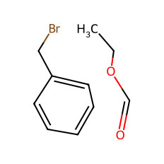 BrCc1ccccc1.CCOC=O